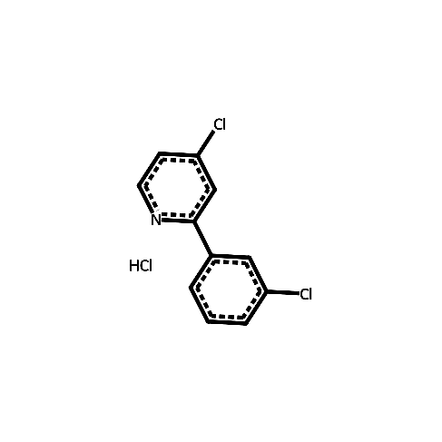 Cl.Clc1cccc(-c2cc(Cl)ccn2)c1